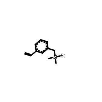 C=Cc1cccc(C[Si](C)(C)CC)c1